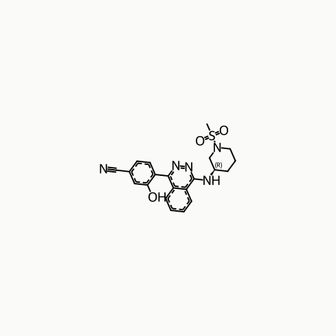 CS(=O)(=O)N1CCC[C@@H](Nc2nnc(-c3ccc(C#N)cc3O)c3ccccc23)C1